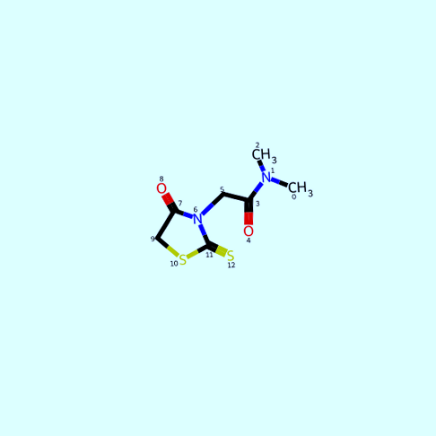 CN(C)C(=O)CN1C(=O)CSC1=S